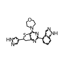 c1cc(-c2nc3c(c(N4CCOCC4)n2)SC(c2cn[nH]c2)C3)c2cn[nH]c2c1